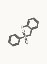 O=S(=O)(Cc1ccccc1F)c1ccccc1